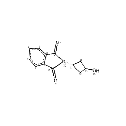 O=C1c2ccccc2C(=O)N1[C@H]1C[C@H](O)C1